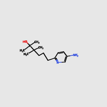 CC(C)(CCCc1ccc(N)cn1)[Si](C)(C)O